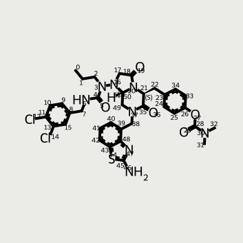 CCCN(C(=O)NCc1ccc(Cl)c(Cl)c1)N1CC(=O)N2[C@@H](Cc3ccc(OC(=O)N(C)C)cc3)C(=O)N(Cc3cccc4sc(N)nc34)C[C@@H]21